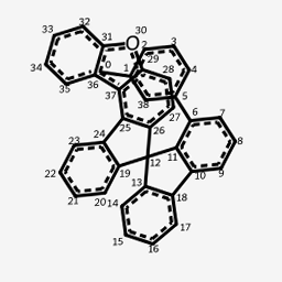 Cc1cccc(-c2cccc3c2C2(c4ccccc4-3)c3ccccc3-c3c2ccc2oc4ccccc4c32)c1